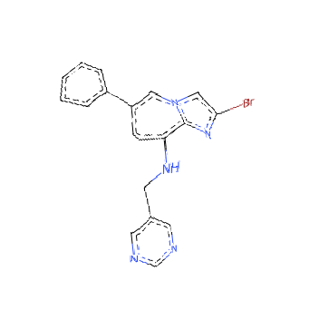 Brc1cn2cc(-c3ccccc3)cc(NCc3cncnc3)c2n1